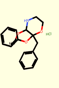 COC1NCCOC1(Cc1ccccc1)Oc1ccccc1.Cl